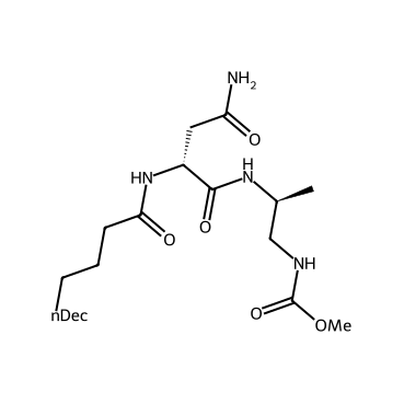 CCCCCCCCCCCCCC(=O)N[C@H](CC(N)=O)C(=O)N[C@@H](C)CNC(=O)OC